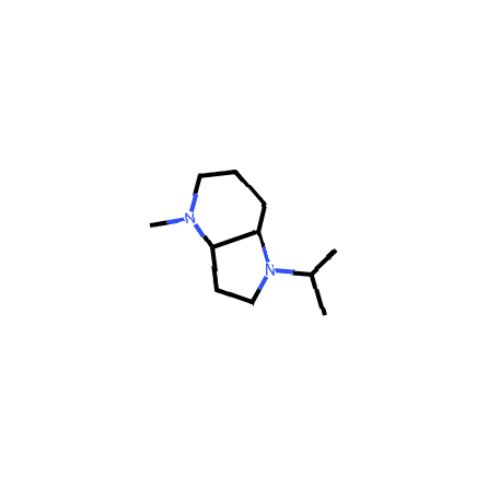 CC(C)N1CCC2C1CCCN2C